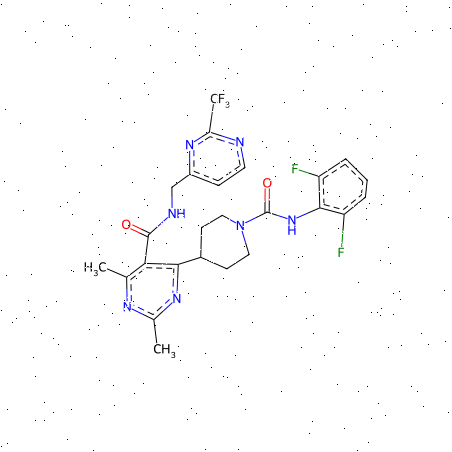 Cc1nc(C)c(C(=O)NCc2ccnc(C(F)(F)F)n2)c(C2CCN(C(=O)Nc3c(F)cccc3F)CC2)n1